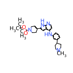 CN1CCC(c2cccc(Nc3ccnc4[nH]c(C5=CCN(C(=O)OC(C)(C)C)CC5)cc34)c2)CC1